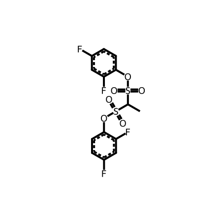 CC(S(=O)(=O)Oc1ccc(F)cc1F)S(=O)(=O)Oc1ccc(F)cc1F